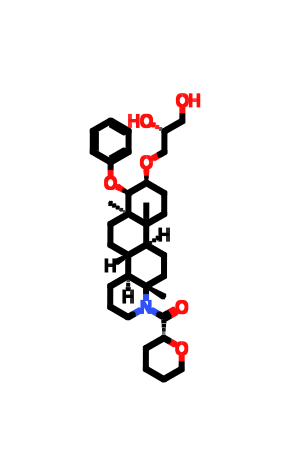 CC12CC[C@H](OC[C@H](O)CO)[C@H](Oc3ccccc3)[C@]1(C)CC[C@@H]1[C@@H]2CC[C@@]2(C)[C@H]1CCCN2C(=O)[C@H]1CCCCO1